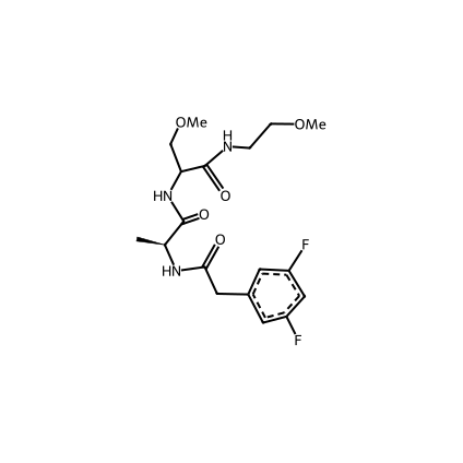 COCCNC(=O)C(COC)NC(=O)[C@H](C)NC(=O)Cc1cc(F)cc(F)c1